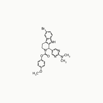 COc1ccc(OC(=O)N2CCc3c([nH]c4ccc(Br)cc34)C2c2cnc(N(C)C)nc2)cc1